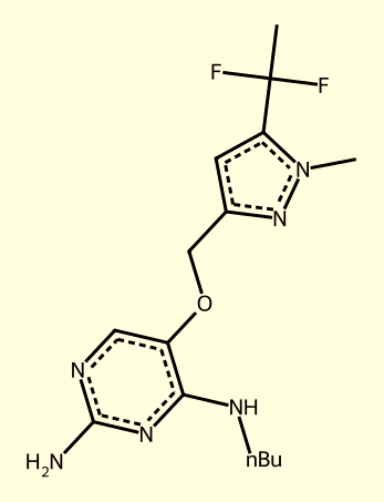 CCCCNc1nc(N)ncc1OCc1cc(C(C)(F)F)n(C)n1